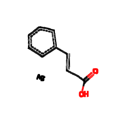 O=C(O)/C=C/c1ccccc1.[Ag]